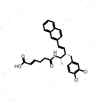 C[C@H](NC(=O)CC/C=C/C(=O)O)[C@H](/C=C/c1ccc2ccccc2c1)Cc1ccc(Cl)c(Cl)c1